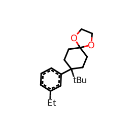 CCc1cccc(C2(C(C)(C)C)CCC3(CC2)OCCO3)c1